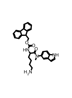 CN(C(=O)C(CCCCN)NC(=O)OCC1c2ccccc2-c2ccccc21)c1ccc2[nH]ccc2c1